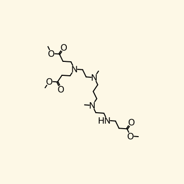 COC(=O)CCNCCN(C)CCCN(C)CCN(CCC(=O)OC)CCC(=O)OC